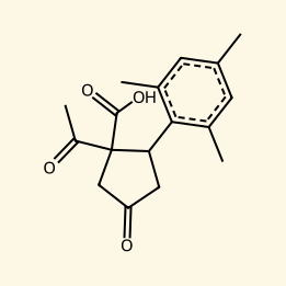 CC(=O)C1(C(=O)O)CC(=O)CC1c1c(C)cc(C)cc1C